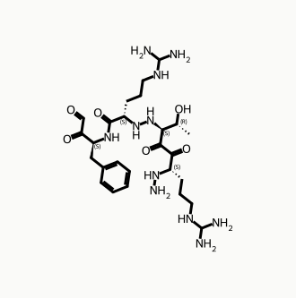 C[C@@H](O)[C@H](NN[C@@H](CCCNC(N)N)C(=O)N[C@@H](Cc1ccccc1)C(=O)C=O)C(=O)C(=O)[C@H](CCCNC(N)N)NN